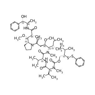 CC[C@H](C)[C@@H]([C@@H](CC(=O)N1CCC[C@H]1[C@H](OC)[C@@H](C)C(=O)N[C@H](C)[C@@H](O)c1ccccc1)OC)N(C)C(=O)[C@@H](NC(=O)[C@H](C(C)C)N(C)C(=O)OC[C@@H](SSc1ccccc1)C(C)C)C(C)C